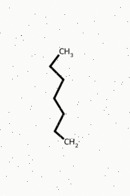 [CH2]C[CH]CCCC